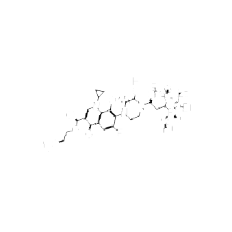 C=CCOC(=O)c1cn(C2CC2)c2c(OC)c(N3CCN(C(=O)CC(P(=O)(OCC)OCC)P(=O)(OCC)OCC)C(C)C3)c(F)cc2c1=O